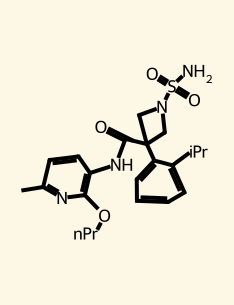 CCCOc1nc(C)ccc1NC(=O)C1(c2ccccc2C(C)C)CN(S(N)(=O)=O)C1